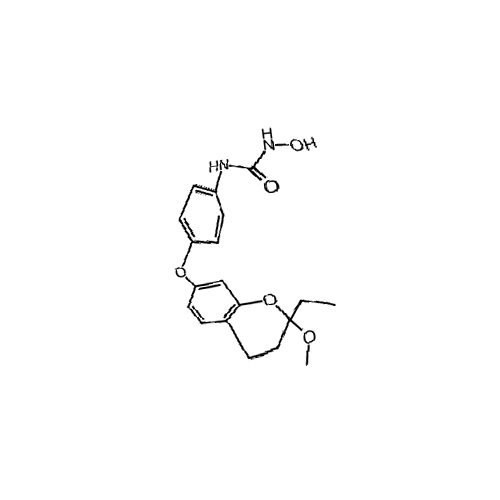 CCC1(OC)CCc2ccc(Oc3ccc(NC(=O)NO)cc3)cc2O1